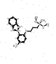 CCO[Si](C)(CCCOc1ccc(C)cc1-n1nc2ccccc2n1)OCC